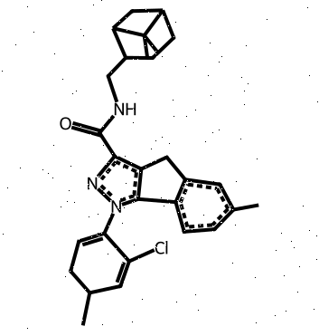 Cc1ccc2c(c1)Cc1c(C(=O)NCC3CCC4CC3C4(C)C)nn(C3=CCC(C)C=C3Cl)c1-2